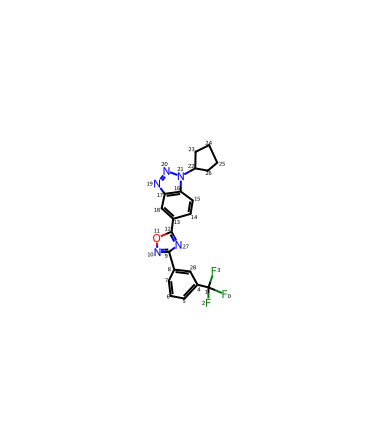 FC(F)(F)c1cccc(-c2noc(-c3ccc4c(c3)nnn4C3CCCC3)n2)c1